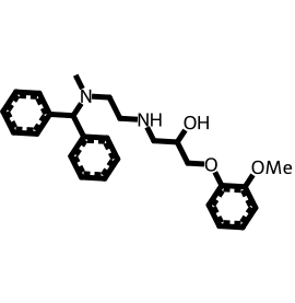 COc1ccccc1OCC(O)CNCCN(C)C(c1ccccc1)c1ccccc1